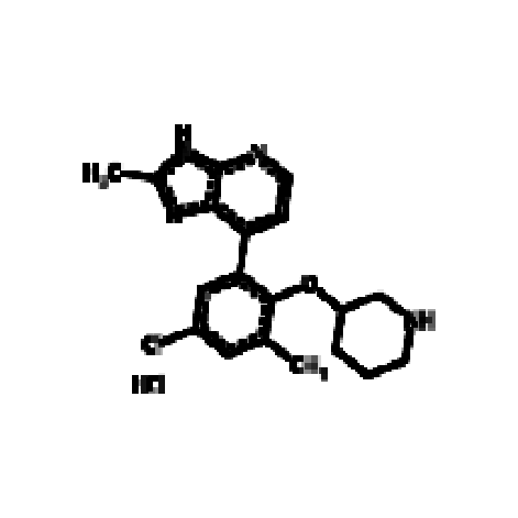 Cc1nc2c(-c3cc(Cl)cc(C)c3OC3CCCNC3)ccnc2[nH]1.Cl